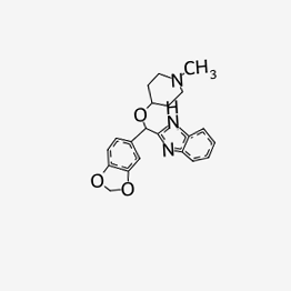 CN1CCC(OC(c2ccc3c(c2)OCO3)c2nc3ccccc3[nH]2)CC1